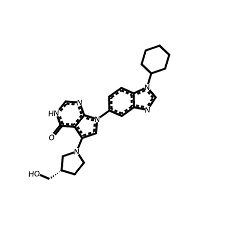 O=c1[nH]cnc2c1c(N1CC[C@H](CO)C1)cn2-c1ccc2c(c1)ncn2C1CCCCC1